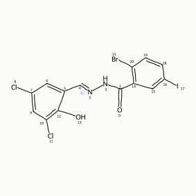 O=C(N/N=C/c1cc(Cl)cc(Cl)c1O)c1cc(I)ccc1Br